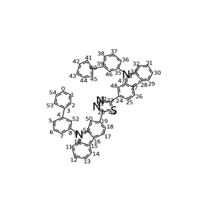 c1ccc(-c2cccc(-n3c4ccccc4c4ccc(-c5nnc(-c6ccc7c8ccccc8n(-c8cccc(-c9ccccc9)c8)c7c6)s5)cc43)c2)cc1